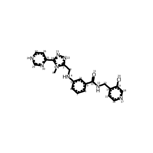 Cn1c(CNc2cccc(C(=O)NCc3ccncc3Cl)c2)nnc1-c1ccncn1